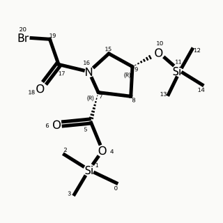 C[Si](C)(C)OC(=O)[C@H]1C[C@@H](O[Si](C)(C)C)CN1C(=O)CBr